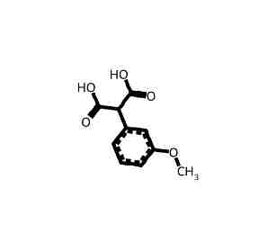 COc1cccc(C(C(=O)O)C(=O)O)c1